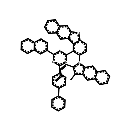 C=C/C=C\c1c(C)c2cc3ccccc3cc2n1-c1ccc2oc3cc4ccccc4cc3c2c1-c1nc(-c2ccc(-c3ccccc3)cc2)nc(-c2ccc3ccccc3c2)n1